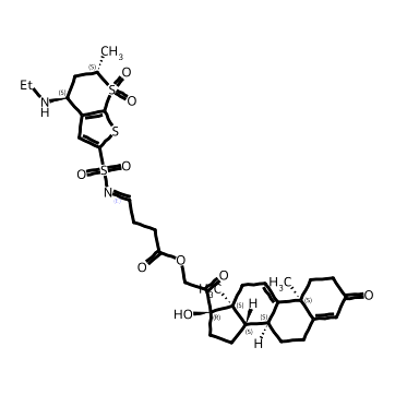 CCN[C@H]1C[C@H](C)S(=O)(=O)c2sc(S(=O)(=O)/N=C/CCC(=O)OCC(=O)[C@@]3(O)CC[C@H]4[C@@H]5CCC6=CC(=O)CC[C@]6(C)C5=CC[C@@]43C)cc21